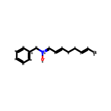 CCC=CCCC=CC=[N+]([O-])Cc1ccccc1